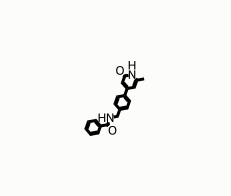 Cc1cc(-c2ccc(CNC(=O)c3ccccc3)cc2)cc(=O)[nH]1